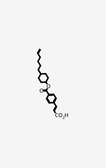 C=CCCCCC1CCC(OC(=O)c2ccc(/C=C/C(=O)O)cc2)CC1